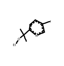 CCOC(C)(C)c1ccc(I)cn1